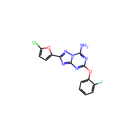 Nc1nc(Oc2ccccc2F)nc2nc(-c3ccc(Cl)o3)nn12